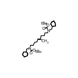 C/C(=C\CCCCN(Cc1ccccc1)C(=O)OC(C)(C)C)CCCCN(Cc1ccccc1)C(=O)OC(C)(C)C